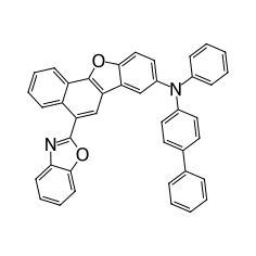 c1ccc(-c2ccc(N(c3ccccc3)c3ccc4oc5c6ccccc6c(-c6nc7ccccc7o6)cc5c4c3)cc2)cc1